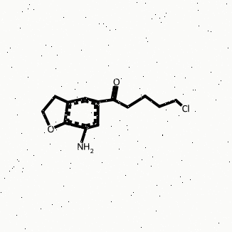 Nc1cc(C(=O)CCCCCl)cc2c1OCC2